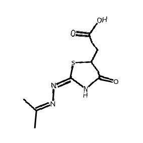 CC(C)=N/N=C1\NC(=O)C(CC(=O)O)S1